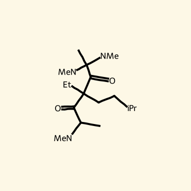 CCC(CCC(C)C)(C(=O)C(C)NC)C(=O)C(C)(NC)NC